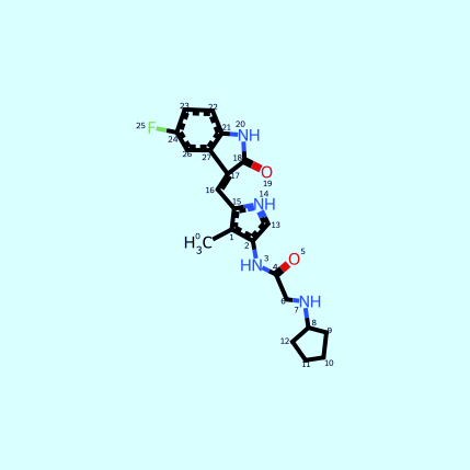 Cc1c(NC(=O)CNC2CCCC2)c[nH]c1/C=C1\C(=O)Nc2ccc(F)cc21